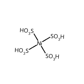 O=[S](=O)(O)[Ni]([S](=O)(=O)O)([S](=O)(=O)O)[S](=O)(=O)O